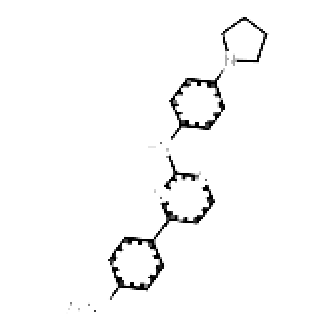 CC(=O)Nc1ccc(-c2ccnc(Nc3ccc(N4CCCC4)cc3)n2)cc1